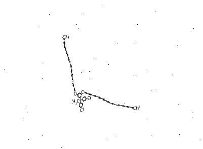 C#CC#CC#CC#CC#CC#CC#CC#CC#CC#CC#COc1cc(OC#CC#CC#CC#CC#CC#CC#CC#CC#CC#CC#C)cc(C(C)(c2ccc(Cl)cc2)c2ccc(Cl)cc2)c1